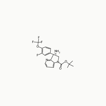 CC(C)(C)OC(=O)N1C[C@](N)(c2ccc(OC(F)(F)F)c(F)c2)c2ncccc21